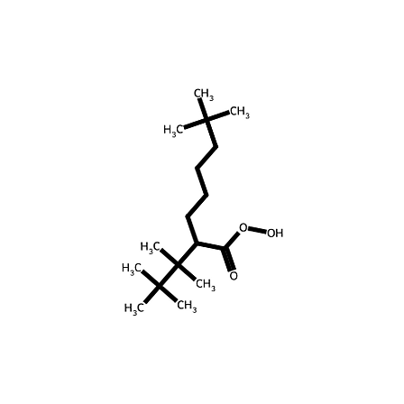 CC(C)(C)CCCCC(C(=O)OO)C(C)(C)C(C)(C)C